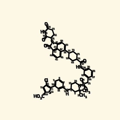 CC1(C)C[C@@H](Nc2cccc(-c3sc(C(=O)O)cc3Cl)c2)CCN1S(=O)(=O)Cc1cccc(NC(=O)C2CCC(c3ccc4c5c(cccc35)C(=O)N4C3CCC(=O)NC3=O)CC2)c1